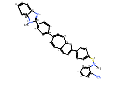 CCN(Sc1ccc(C2=CC=C3C=CC(c4ccc(-c5nc6ccccc6n5CC)cc4)=C=CC3C2)cc1)c1ccccc1N